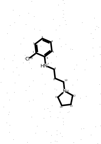 Clc1c[c]ccc1NCCCN1CCCC1